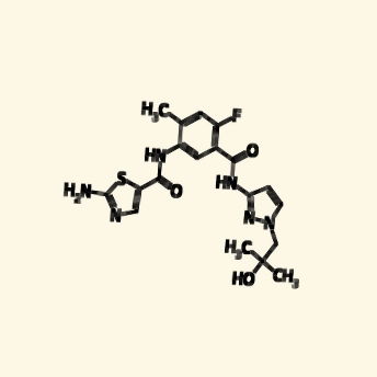 Cc1cc(F)c(C(=O)Nc2ccn(CC(C)(C)O)n2)cc1NC(=O)c1cnc(N)s1